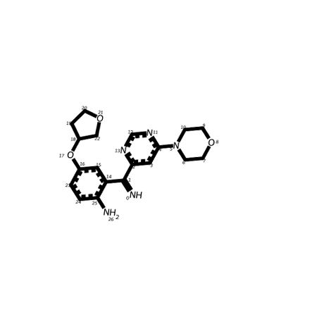 N=C(c1cc(N2CCOCC2)ncn1)c1cc(OC2CCOC2)ccc1N